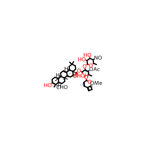 CO[C@@H]1CC=C1/C=C\C(=O)OC(C)/C(OC(C)=O)=C(/OC1OC(C)C(N=O)C(O)C1O)C(O)OC(=O)[C@]12CCC(C)(C)C[C@H]1C1=CC[C@@H]3[C@@]4(C)CC[C@H](O)[C@@](C)(C=O)[C@@H]4CC[C@@]3(C)[C@]1(C)C[C@H]2O